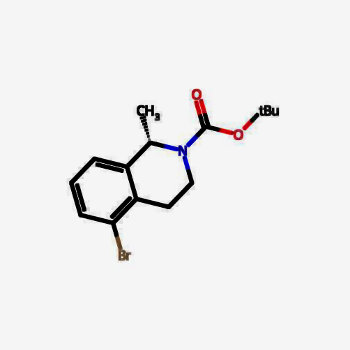 C[C@H]1c2cccc(Br)c2CCN1C(=O)OC(C)(C)C